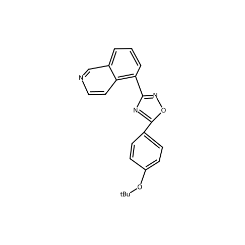 CC(C)(C)Oc1ccc(-c2nc(-c3cccc4cnccc34)no2)cc1